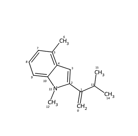 C=C(c1cc2c(C)cccc2n1C)C(C)C